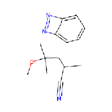 COC(C)(C)CC(C)C#N.c1ccc2c(c1)N=N2